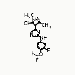 Cc1nn(C)c(Cl)c1-c1cncc(Nc2ccc(OC(F)F)c(F)c2)n1